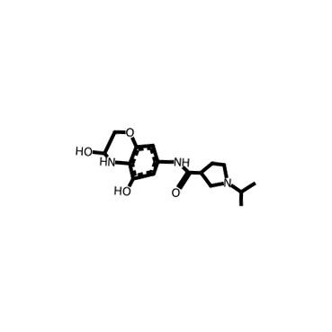 CC(C)N1CCC(C(=O)Nc2cc(O)c3c(c2)OCC(O)N3)C1